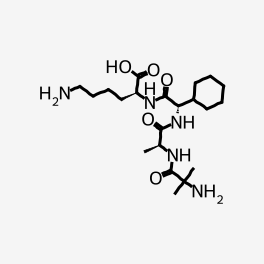 C[C@H](NC(=O)C(C)(C)N)C(=O)N[C@H](C(=O)N[C@@H](CCCCN)C(=O)O)C1CCCCC1